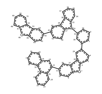 c1cc(-c2ccc3oc4ccc(-c5cc6ccccc6c6ccccc56)cc4c3c2)cc(-n2c3ccccc3c3cc(-c4ccc5oc6ccccc6c5c4)ccc32)c1